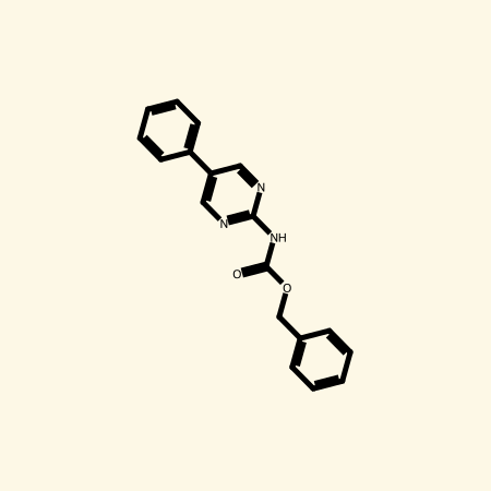 O=C(Nc1ncc(-c2ccccc2)cn1)OCc1ccccc1